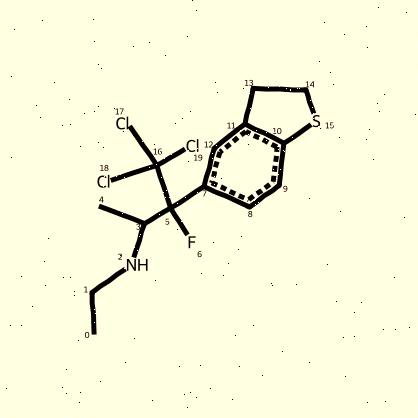 CCNC(C)C(F)(c1ccc2c(c1)CCS2)C(Cl)(Cl)Cl